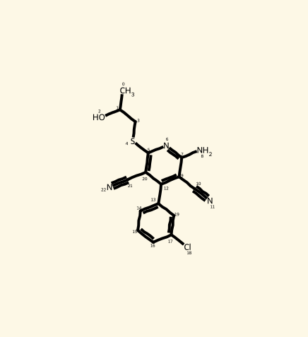 CC(O)CSc1nc(N)c(C#N)c(-c2cccc(Cl)c2)c1C#N